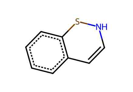 C1=Cc2ccccc2SN1